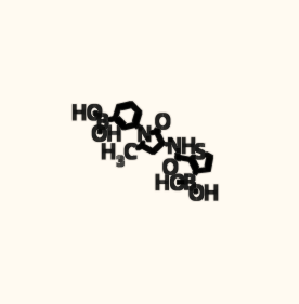 CC1C[C@H](NC(=O)c2sccc2B(O)O)C(=O)N1c1cccc(B(O)O)c1